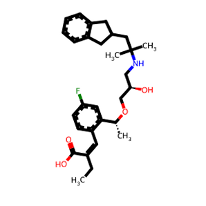 CCC(=Cc1ccc(F)cc1[C@@H](C)OC[C@H](O)CNC(C)(C)CC1Cc2ccccc2C1)C(=O)O